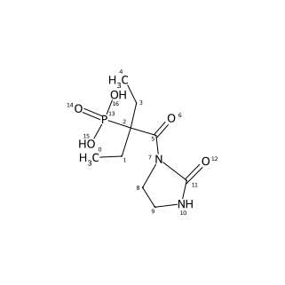 CCC(CC)(C(=O)N1CCNC1=O)P(=O)(O)O